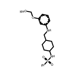 COCOc1cccc(NCC2CCC(NS(=O)(=O)C(C)C)CC2)c1